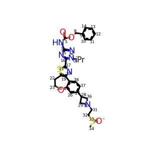 CC(C)n1nc(NC(=O)OCc2ccccc2)nc1-c1nc2c(s1)CCOc1cc(C3CN(CC[S+](C)[O-])C3)ccc1-2